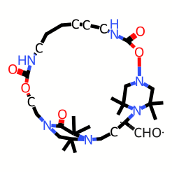 CC1(C)CN2CC(C)(C)N1[C]([C]=O)CCN1C(C)(C)CN(CCOC(=O)NCCCCCCNC(=O)O2)C(=O)C1(C)C